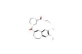 CCOC(=O)C1CN(C(=O)C2=Cc3cc(OC)c(OC)cc3CCC2)CCN1